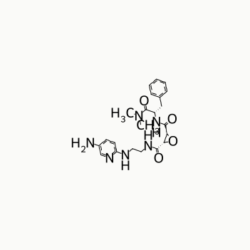 CN(C)C(=O)[C@H](Cc1ccccc1)NC(=O)[C@H]1O[C@@H]1C(=O)NCCNc1ccc(N)cn1